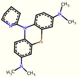 CN(C)c1ccc2c(c1)Sc1cc(N(C)C)ccc1N2c1ccccn1